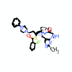 C/C(=C(\CCN1CCN(c2ccccc2)CC1)SC(=O)c1ccccc1F)N1Cc2cnc(C)nc2NCC1=O